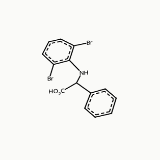 O=C(O)C(Nc1c(Br)cccc1Br)c1ccccc1